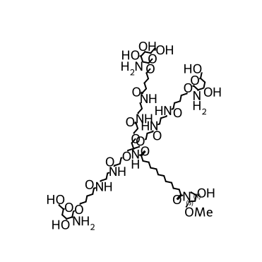 COC[C@@H]1C[C@@H](O)CN1C(=O)CCCCCCCCCCC(=O)NC(COCCC(=O)NCCCNC(=O)CCCCOC1OC(CO)CC(O)C1N)(COCCC(=O)NCCCNC(=O)CCCCOC1OC(CO)CC(O)C1N)COCCC(=O)NCCCNC(=O)CCCCOC1OC(CO)C(O)C(O)C1N